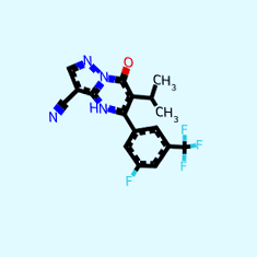 CC(C)c1c(-c2cc(F)cc(C(F)(F)F)c2)[nH]c2c(C#N)cnn2c1=O